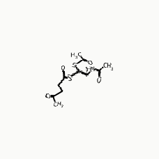 CC(=O)CCC(=O)SC(CNC(C)=O)SC(C)=O